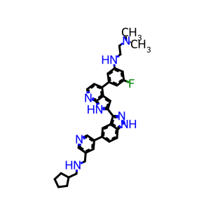 CN(C)CCNc1cc(F)cc(-c2ccnc3[nH]c(-c4n[nH]c5ccc(-c6cncc(CNCC7CCCC7)c6)cc45)cc23)c1